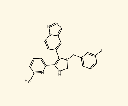 Cc1cccc(C2=C(c3ccn4nccc4c3)N(Cc3cccc(F)c3)CN2)n1